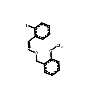 Fc1ccccc1/[C]=N\OCc1ccccc1OC(F)(F)F